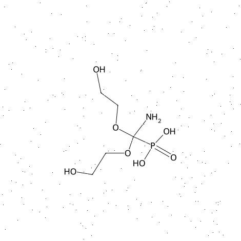 NC(OCCO)(OCCO)P(=O)(O)O